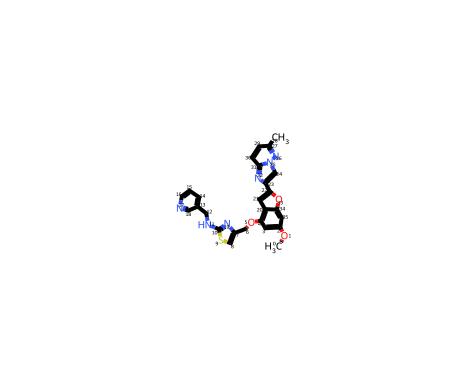 COc1cc(OCc2csc(NCc3cccnc3)n2)c2cc(-c3cn4nc(C)ccc4n3)oc2c1